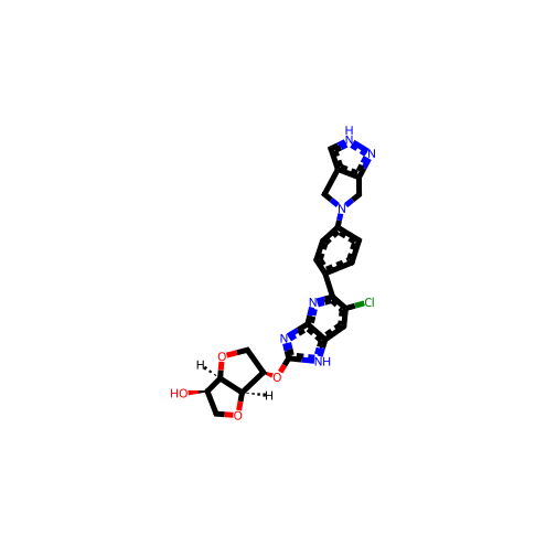 O[C@@H]1CO[C@H]2[C@@H]1OC[C@H]2Oc1nc2nc(-c3ccc(N4Cc5c[nH]nc5C4)cc3)c(Cl)cc2[nH]1